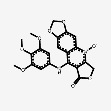 COc1cc(Nc2c3c([n+]([O-])c4cc5c(cc24)OCO5)COC3=O)cc(OC)c1OC